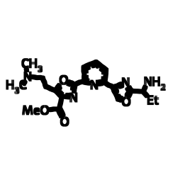 CCC(N)c1nc(-c2cccc(-c3nc(C(=O)OC)c(CCN(C)C)o3)n2)co1